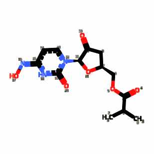 CC(C)C(=O)OC[C@@H]1CC(=O)[C@H](n2cc/c(=N/O)[nH]c2=O)O1